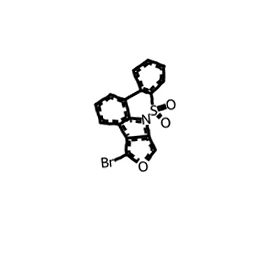 O=S1(=O)c2ccccc2-c2cccc3c4c(Br)occ4n1c23